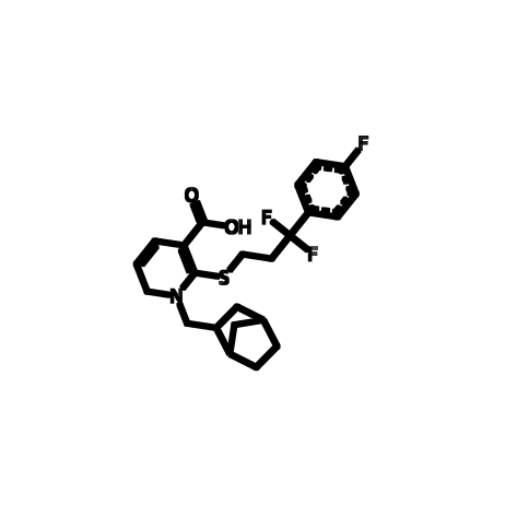 O=C(O)C1=C(SCCC(F)(F)c2ccc(F)cc2)N(CC2CC3CCC2C3)CC=C1